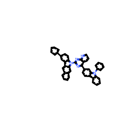 c1ccc(-c2ccc3c(c2)c2cc4ccccc4cc2n3-c2nc(-c3ccc4c5ccccc5n(-c5ccccc5)c4c3)c3cccnc3n2)cc1